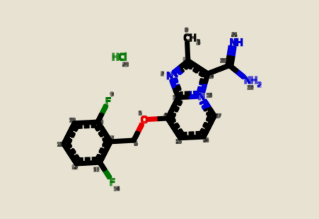 Cc1nc2c(OCc3c(F)cccc3F)cccn2c1C(=N)N.Cl